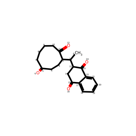 CC(C1CCC(=O)CCCCC1=O)C1CC(=O)c2ccccc2C1=O